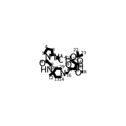 [C-]#[N+][C@@H]1CCCN1C(=O)CNC1(C)CCN(C[C@H]2O[C@@H]3OC(C)(C)O[C@@H]3[C@H]2OC)CC1